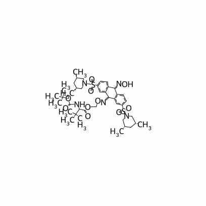 C[C@@H]1C[C@H](C)CN(S(=O)(=O)c2ccc3c(c2)C(=NOCOC(=O)C(NC(=O)OC(C)(C)C)C(C)(C)C)c2cc(S(=O)(=O)N4C[C@H](C)C[C@H](C)C4)ccc2C3=NO)C1